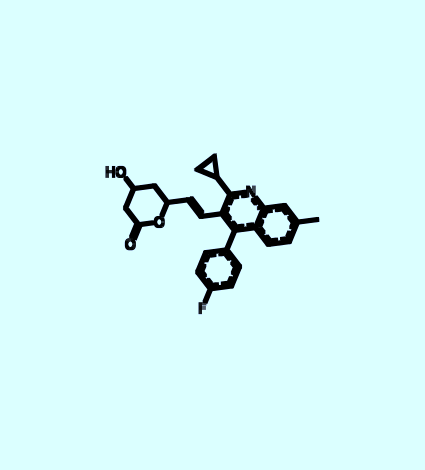 Cc1ccc2c(-c3ccc(F)cc3)c(/C=C/C3CC(O)CC(=O)O3)c(C3CC3)nc2c1